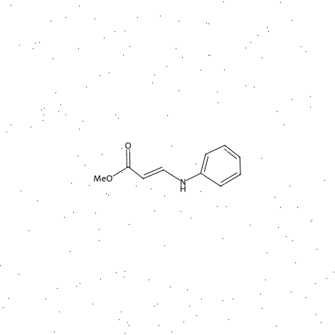 COC(=O)C=CNc1ccccc1